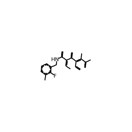 C=C/C(C(=C)/C(=C\C)C(=C)NCc1cccc(C)c1F)=C(/C)C(=C)C